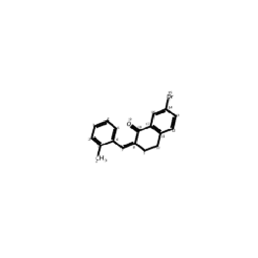 Cc1ccccc1C=C1CCc2ccc(Br)cc2C1=O